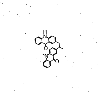 CC(Cc1ccc2[nH]c3ccccc3c(=O)c2c1)c1ccc2c(c1)c(=O)c1ccccc1n2C